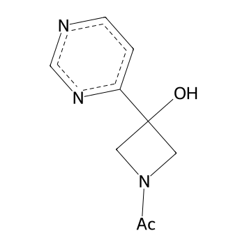 CC(=O)N1CC(O)(c2ccncn2)C1